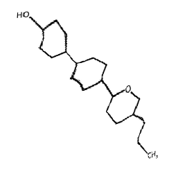 CCCC1CCC(C2CCC(C3CCC(O)CC3)CC2)OC1